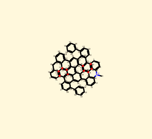 CN1c2ccccc2B2c3c(cccc31)-c1cc(-c3c(-c4ccccc4)cccc3-c3ccccc3)c3cc4c5c(cc(-c6c(-c7ccccc7)cccc6-c6ccccc6)c6cc2c1c3c65)-c1cccc2c1B4c1ccccc1C2